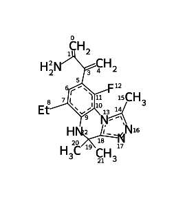 C=C(N)C(=C)c1cc(CC)c2c(c1F)-n1c(C)nnc1C(C)(C)N2